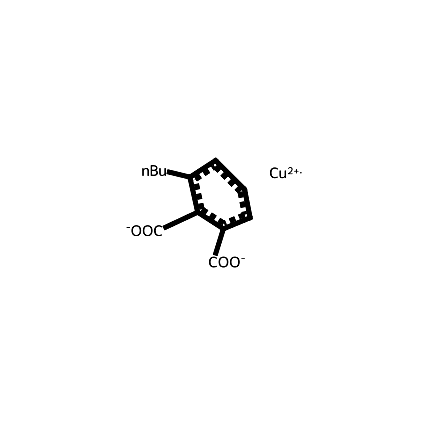 CCCCc1cccc(C(=O)[O-])c1C(=O)[O-].[Cu+2]